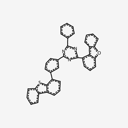 c1ccc(-c2nc(-c3cccc(-c4cccc5c4sc4ccccc45)c3)nc(-c3cccc4oc5ccccc5c34)n2)cc1